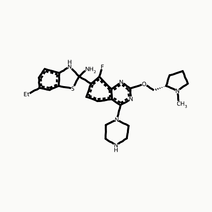 CCc1ccc2c(c1)SC(N)(c1ccc3c(N4CCNCC4)nc(OC[C@@H]4CCCN4C)nc3c1F)N2